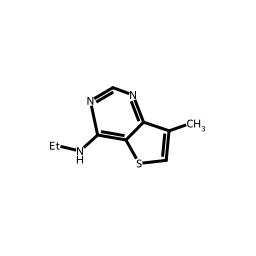 CCNc1ncnc2c(C)csc12